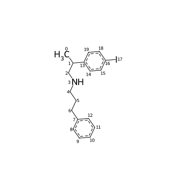 CC(CNCCCc1ccccc1)c1ccc(I)cc1